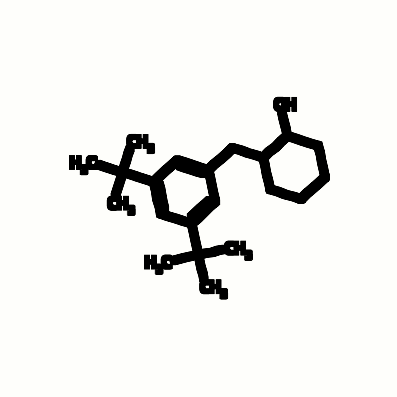 CC(C)(C)c1cc(CC2CCCCC2O)cc(C(C)(C)C)c1